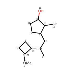 CO[C@H]1CC[C@@H]1C(C)CC1CCC(O)C1C(C)C